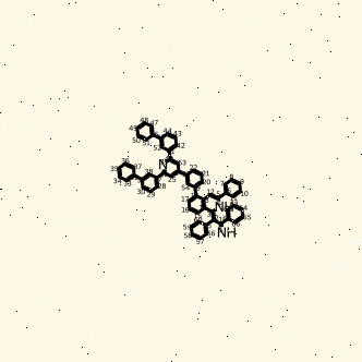 N=C(/C(=C1\NC(c2ccccc2)=Cc2c1cccc2-c1cccc(-c2cc(-c3cccc(-c4ccccc4)c3)nc(-c3cccc(-c4ccccc4)c3)c2)c1)c1ccccc1)c1ccccc1